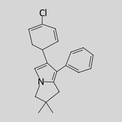 CC1(C)Cc2c(-c3ccccc3)c(C3C=CC(Cl)=CC3)cn2C1